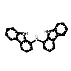 c1ccc2c(c1)[nH]c1c(Nc3cccc4c3[nH]c3ccccc34)cccc12